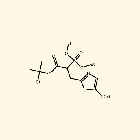 CCCCCCCCc1cnc(CC(C(=O)OC(C)(C)CC)P(=O)(OCC)OCC)o1